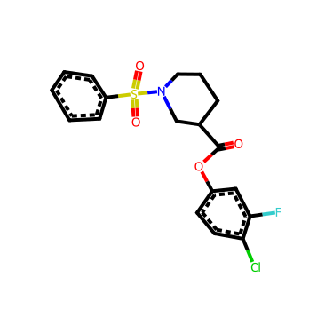 O=C(Oc1ccc(Cl)c(F)c1)C1CCCN(S(=O)(=O)c2ccccc2)C1